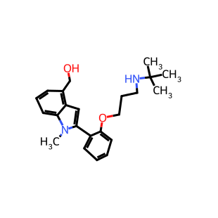 Cn1c(-c2ccccc2OCCCNC(C)(C)C)cc2c(CO)cccc21